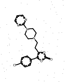 O=c1oc(CCN2CCN(c3ncccn3)CC2)c(-c2ccc(Cl)cc2)o1